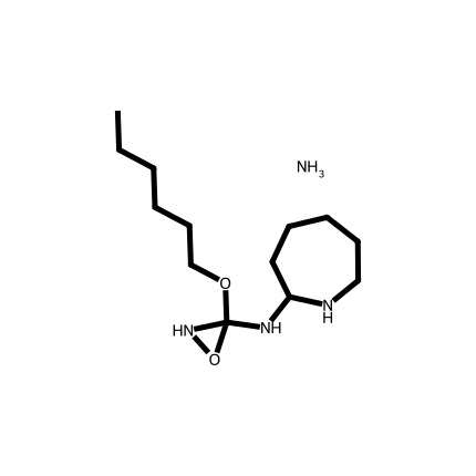 CCCCCCOC1(NC2CCCCCN2)NO1.N